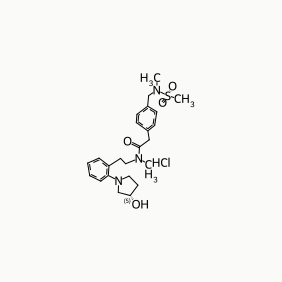 CN(CCc1ccccc1N1CC[C@H](O)C1)C(=O)Cc1ccc(CN(C)S(C)(=O)=O)cc1.Cl